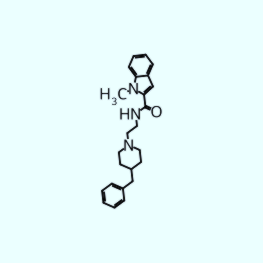 Cn1c(C(=O)NCCN2CCC(Cc3ccccc3)CC2)cc2ccccc21